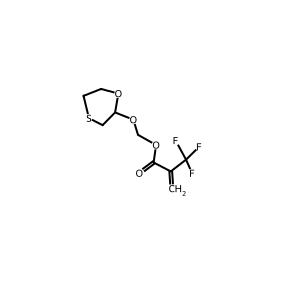 C=C(C(=O)OCOC1CSCCO1)C(F)(F)F